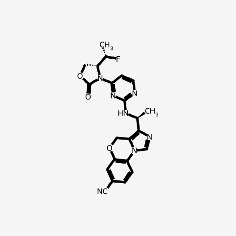 C[C@H](Nc1nccc(N2C(=O)OC[C@@H]2[C@H](C)F)n1)c1ncn2c1COc1cc(C#N)ccc1-2